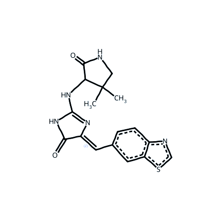 CC1(C)CNC(=O)C1NC1=N/C(=C\c2ccc3ncsc3c2)C(=O)N1